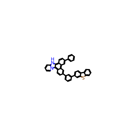 C1=CC2Nc3c(c4ccc(-c5cccc(-c6ccc7c(c6)sc6ccccc67)c5)cc4c4cc(-c5ccccc5)ccc34)N2C=C1